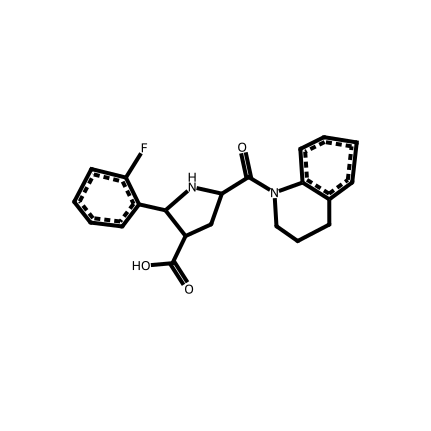 O=C(O)C1CC(C(=O)N2CCCc3ccccc32)NC1c1ccccc1F